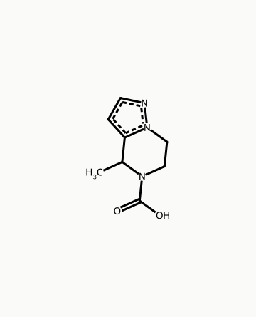 CC1c2ccnn2CCN1C(=O)O